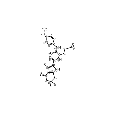 CCOc1ccc(NC(=O)C(CCC2CC2)NC(=O)c2[nH]c3c(c2C)C(=O)CC(C)(C)C3)cn1